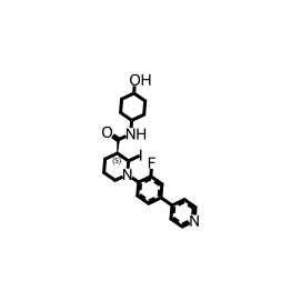 O=C(NC1CCC(O)CC1)[C@@H]1CCCN(c2ccc(-c3ccncc3)cc2F)C1I